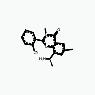 Cc1cc([C@@H](C)N)c2nc(-c3ccccc3C#N)n(C)c(=O)c2c1